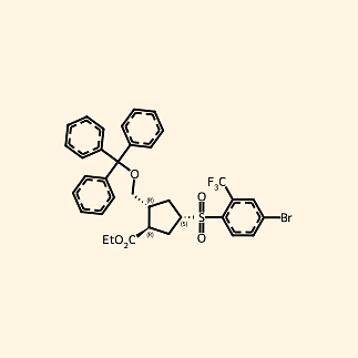 CCOC(=O)[C@@H]1C[C@@H](S(=O)(=O)c2ccc(Br)cc2C(F)(F)F)C[C@H]1COC(c1ccccc1)(c1ccccc1)c1ccccc1